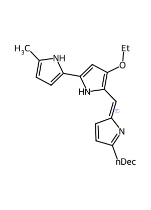 CCCCCCCCCCC1=N/C(=C/c2[nH]c(-c3ccc(C)[nH]3)cc2OCC)C=C1